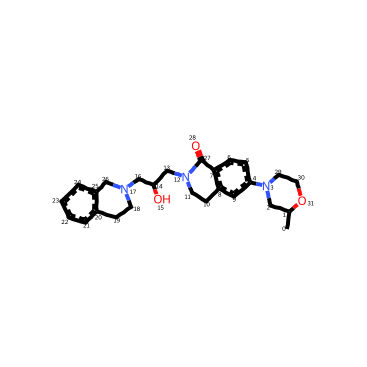 CC1CN(c2ccc3c(c2)CCN(CC(O)CN2CCc4ccccc4C2)C3=O)CCO1